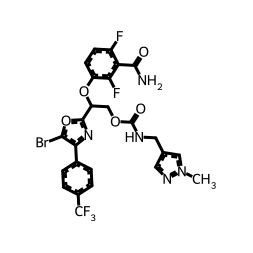 Cn1cc(CNC(=O)OCC(Oc2ccc(F)c(C(N)=O)c2F)c2nc(-c3ccc(C(F)(F)F)cc3)c(Br)o2)cn1